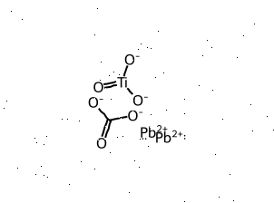 O=C([O-])[O-].[O]=[Ti]([O-])[O-].[Pb+2].[Pb+2]